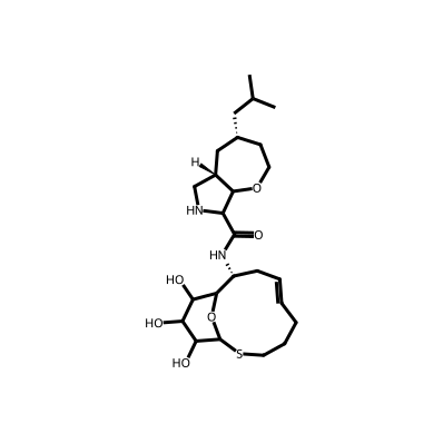 CC(C)C[C@@H]1CCOC2C(C(=O)N[C@@H]3C/C=C/CCCSC4OC3C(O)C(O)C4O)NC[C@@H]2C1